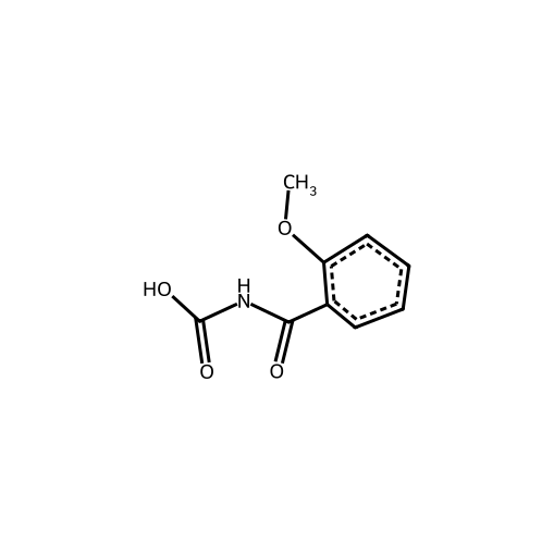 COc1ccccc1C(=O)NC(=O)O